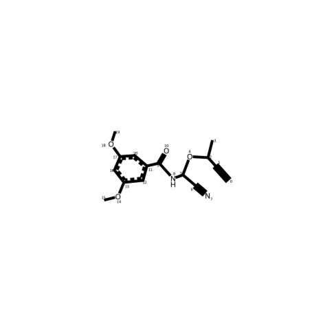 C#CC(C)OC(C#N)NC(=O)c1cc(OC)cc(OC)c1